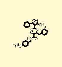 Cc1noc(-c2ccccc2)c1C(=O)NC(Cc1ccccc1)C(=O)C(=O)NCc1ccc(OC(F)(F)F)cc1